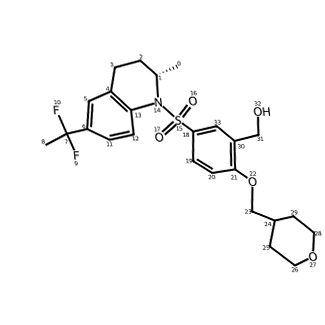 C[C@H]1CCc2cc(C(C)(F)F)ccc2N1S(=O)(=O)c1ccc(OCC2CCOCC2)c(CO)c1